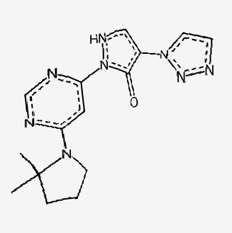 CC1(C)CCCN1c1cc(-n2[nH]cc(-n3ccnn3)c2=O)ncn1